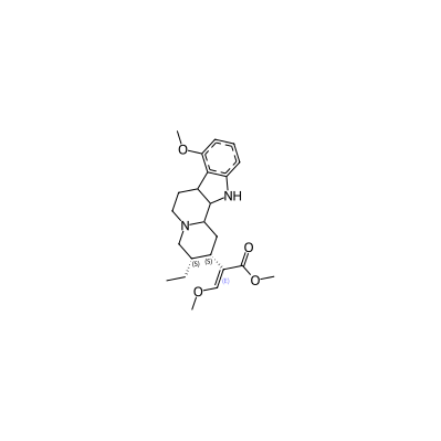 CC[C@@H]1CN2CCC3c4c(cccc4OC)NC3C2C[C@@H]1/C(=C\OC)C(=O)OC